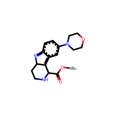 CC(C)(C)OC(=O)C1NCCC2N=c3ccc(N4CCOCC4)cc3=C21